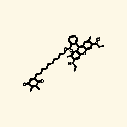 CCNc1cc2c(cc1C)C(c1ccccc1C(=O)OCCCCCCCCCCC1=CC(=O)C(C)=C(C)C1=O)=C1C=C(C)C(N(Cl)CC)C=C1O2